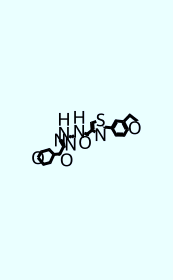 O=C(Nc1nc(C(=O)C2CCOCC2)n[nH]1)c1csc(-c2ccc3c(c2)CCO3)n1